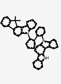 CC1(C)c2ccccc2-c2ccc3c(c21)c1ccccc1n3-c1ccccc1-c1ccccc1-n1c2ccccc2c2c3[nH]c4ccccc4c3ccc21